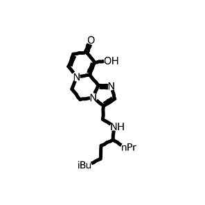 CCCC(CCC(C)CC)NCc1cnc2n1CCn1ccc(=O)c(O)c1-2